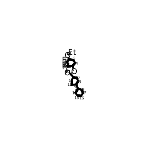 CCOC1=CC=C(OC(=O)c2ccc(-c3ccccc3)cc2)C(F)(F)C1(F)F